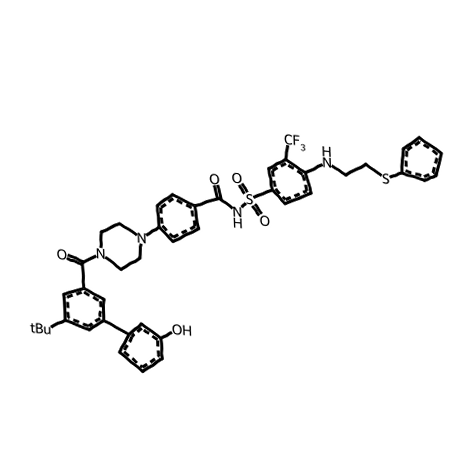 CC(C)(C)c1cc(C(=O)N2CCN(c3ccc(C(=O)NS(=O)(=O)c4ccc(NCCSc5ccccc5)c(C(F)(F)F)c4)cc3)CC2)cc(-c2cccc(O)c2)c1